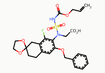 C=CCOC(=O)NS(=O)(=O)N(CC(=O)O)c1c(OCc2ccccc2)cc2c(c1F)CC1(CC2)OCCO1